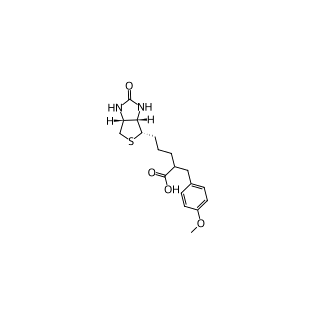 COc1ccc(CC(CCC[C@@H]2SC[C@@H]3NC(=O)N[C@@H]32)C(=O)O)cc1